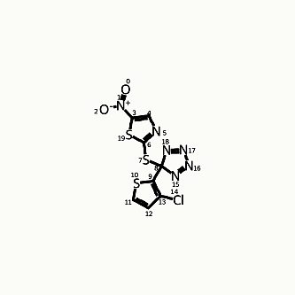 O=[N+]([O-])c1cnc(SC2(c3sccc3Cl)N=NN=N2)s1